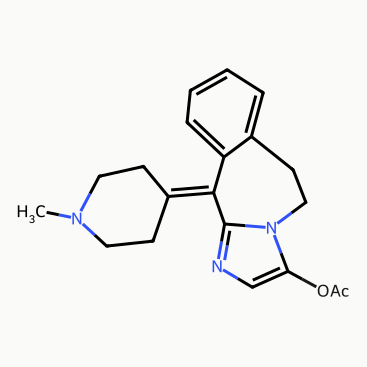 CC(=O)Oc1cnc2n1CCc1ccccc1C2=C1CCN(C)CC1